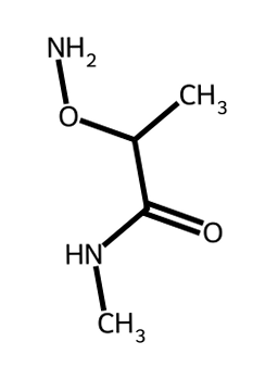 CNC(=O)C(C)ON